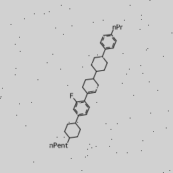 CCCCCC1CCC(c2ccc(C3=CCC(C4CCC(c5ccc(CCC)cc5)CC4)CC3)c(F)c2)CC1